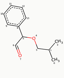 CC(C)COC([C]=O)c1ccccc1